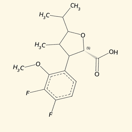 COc1c(C2C(C)C(C(C)C)O[C@@H]2C(=O)O)ccc(F)c1F